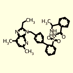 CCc1nc2c(C)cc(C)nc2n1Cc1ccc(-c2ccccc2S(=O)(=O)NC(=O)c2ccccc2C(C)N)cc1